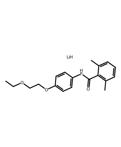 CCOCCOc1ccc(PC(=O)c2c(C)cccc2C)cc1.[LiH]